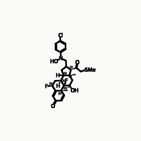 CSCC(=O)[C@H]1C(CN(O)c2ccc(Cl)cc2)C[C@H]2[C@@H]3C[C@H](F)C4=CC(=O)C=C[C@]4(C)[C@@]3(F)[C@@H](O)C[C@]12C